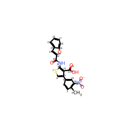 Cc1ccc(-c2csc(NC(=O)c3cc4ccccc4o3)c2C(=O)O)cc1[N+](=O)[O-]